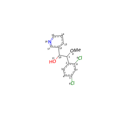 COC(c1ccc(Cl)cc1Cl)C(O)c1cccnc1